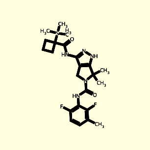 Cc1ccc(F)c(NC(=O)N2Cc3c(NC(=O)C4(S(C)(C)C)CCC4)n[nH]c3C2(C)C)c1F